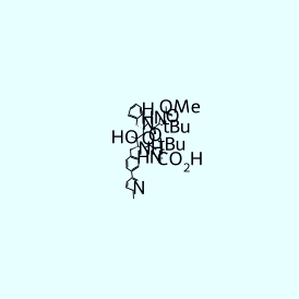 COC(=O)N[C@H](C(=O)N[C@@H](Cc1ccccc1)C[C@H](O)[C@H](Cc1ccc(-c2ccc(C)nc2)cc1)NC(=O)[C@@H](NC(=O)O)C(C)(C)C)C(C)(C)C